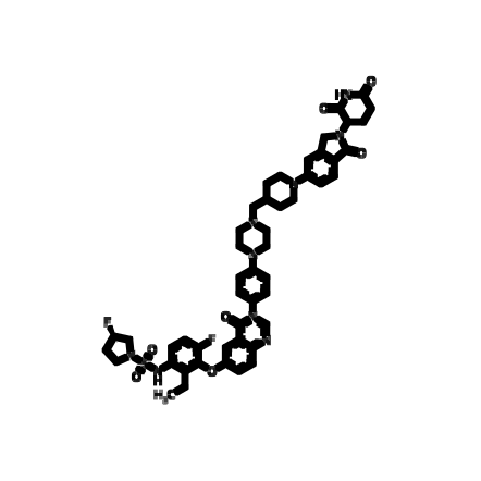 CCc1c(NS(=O)(=O)N2CC[C@@H](F)C2)ccc(F)c1Oc1ccc2ncn(-c3ccc(N4CCN(CC5CCN(c6ccc7c(c6)CN(C6CCC(=O)NC6=O)C7=O)CC5)CC4)cc3)c(=O)c2c1